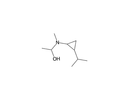 CC(C)C1CC1N(C)C(C)O